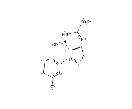 CCOC(=O)c1nc2scc(-c3cccc(C#N)c3)c2c(=O)[nH]1